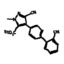 CCOC(=O)c1c(-c2ccc(-c3ccccc3C#N)cc2)c(C#N)nn1C